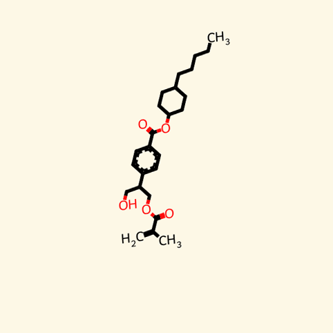 C=C(C)C(=O)OCC(CO)c1ccc(C(=O)OC2CCC(CCCCC)CC2)cc1